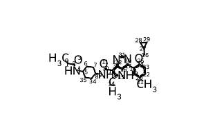 CCC(=O)NC1CCC(NC(=O)c2c(C)[nH]c3c(-c4cc(C)ccc4OCC4CC4)ncnc23)CC1